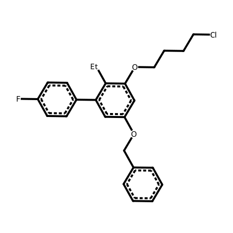 CCc1c(OCCCCCl)cc(OCc2ccccc2)cc1-c1ccc(F)cc1